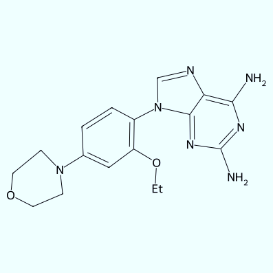 CCOc1cc(N2CCOCC2)ccc1-n1cnc2c(N)nc(N)nc21